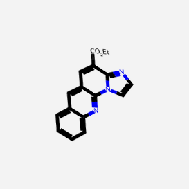 CCOC(=O)c1cc2cc3ccccc3nc2n2ccnc12